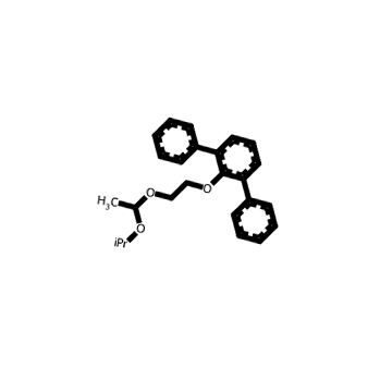 CC(C)OC(C)OCCOc1c(-c2ccccc2)cccc1-c1ccccc1